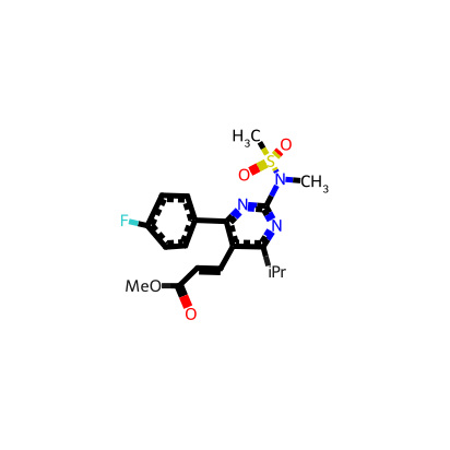 COC(=O)C=Cc1c(-c2ccc(F)cc2)nc(N(C)S(C)(=O)=O)nc1C(C)C